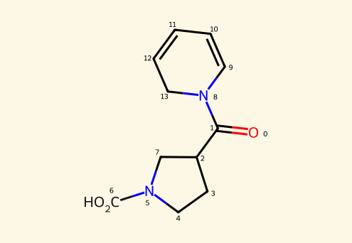 O=C(C1CCN(C(=O)O)C1)N1C=CC=CC1